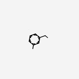 Bc1cccc(CO)c1.O.O